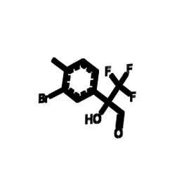 Cc1ccc(C(O)(C=O)C(F)(F)F)cc1Br